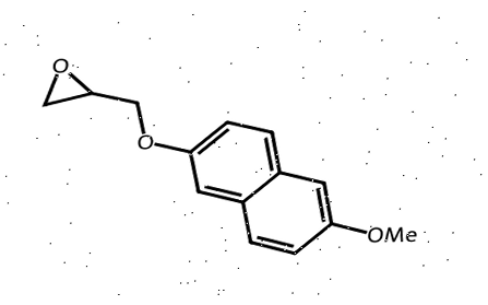 COc1ccc2cc(OCC3CO3)ccc2c1